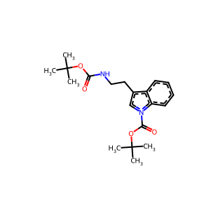 CC(C)(C)OC(=O)NCCc1cn(C(=O)OC(C)(C)C)c2ccccc12